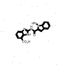 CCCn1c(C(=O)Nc2nc3cccc(C(=O)O)c3[nH]2)cc2ccccc21